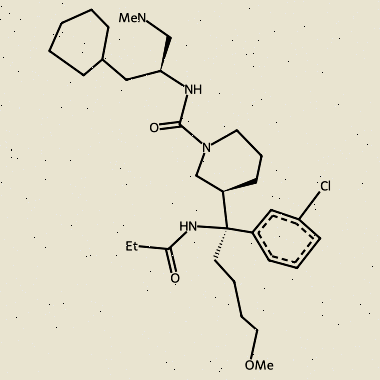 CCC(=O)N[C@](CCCCOC)(c1cccc(Cl)c1)[C@@H]1CCCN(C(=O)N[C@H](CNC)CC2CCCCC2)C1